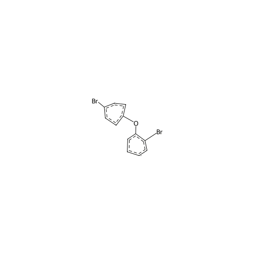 Brc1ccc(Oc2cc[c]cc2Br)cc1